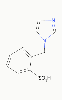 O=S(=O)(O)c1ccccc1Cn1ccnc1